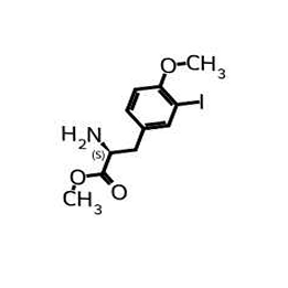 COC(=O)[C@@H](N)Cc1ccc(OC)c(I)c1